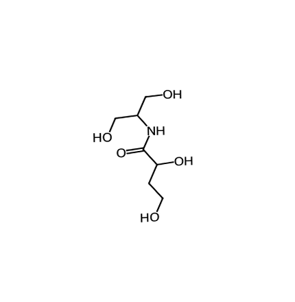 O=C(NC(CO)CO)C(O)CCO